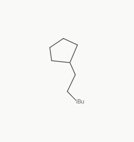 CCC(C)CCC1CCCC1